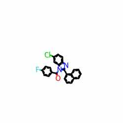 O=C(c1ccc(F)cc1)n1c(-c2cccc3ccccc23)nc2ccc(Cl)cc21